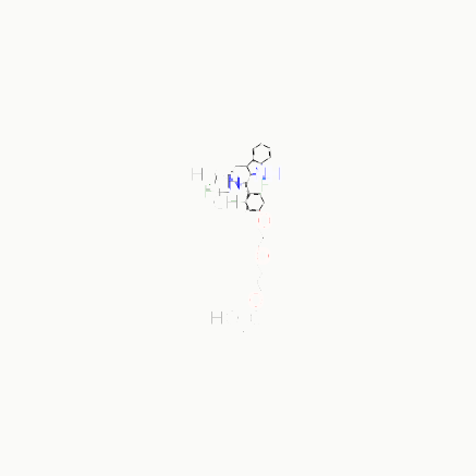 C[C@@H]1Cc2c([nH]c3ccccc23)[C@@H](c2c(F)cc(OCCCOCCCCOCC(=O)O)cc2F)N1CC(C)(C)F